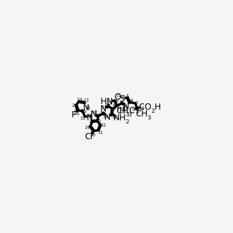 CC(C)(Cc1csc(C2(C)C(=O)Nc3nc(-c4nn(Cc5ncccc5F)c5cc(Cl)ccc45)nc(N)c32)n1)C(=O)O